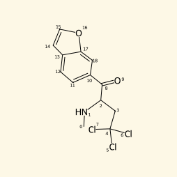 CNC(CC(Cl)(Cl)Cl)C(=O)c1ccc2ccoc2c1